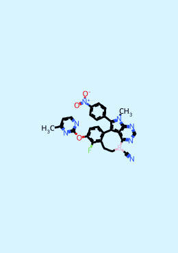 Cc1ccnc(Oc2ccc3c(c2F)CCB(C#N)c2ncnc4c2c-3c(-c2ccc([N+](=O)[O-])cc2)n4C)n1